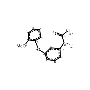 COc1ccccc1Oc1cccc([C@@H](C)C(N)=O)c1